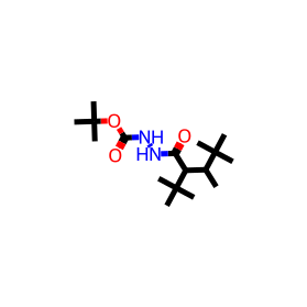 CC(C(C(=O)NNC(=O)OC(C)(C)C)C(C)(C)C)C(C)(C)C